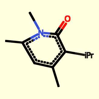 Cc1cc(C)n(C)c(=O)c1C(C)C